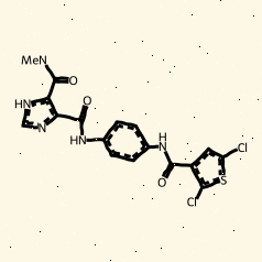 CNC(=O)c1[nH]cnc1C(=O)Nc1ccc(NC(=O)c2cc(Cl)sc2Cl)cc1